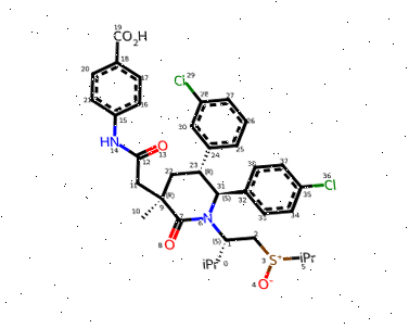 CC(C)[C@@H](C[S+]([O-])C(C)C)N1C(=O)[C@@](C)(CC(=O)Nc2ccc(C(=O)O)cc2)C[C@H](c2cccc(Cl)c2)[C@H]1c1ccc(Cl)cc1